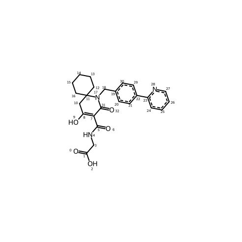 O=C(O)CNC(=O)C1=C(O)CC2(CCCCC2)N(Cc2ccc(-c3ccccn3)cc2)C1=O